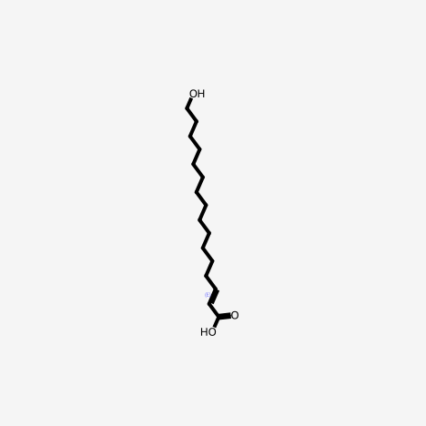 O=C(O)/C=C/CCCCCCCCCCCCCO